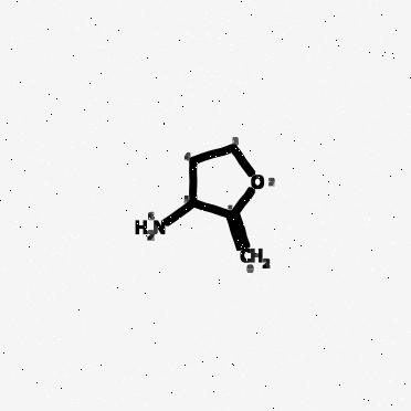 C=C1OCCC1N